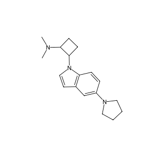 CN(C)C1CCC1n1ccc2cc(N3CCCC3)ccc21